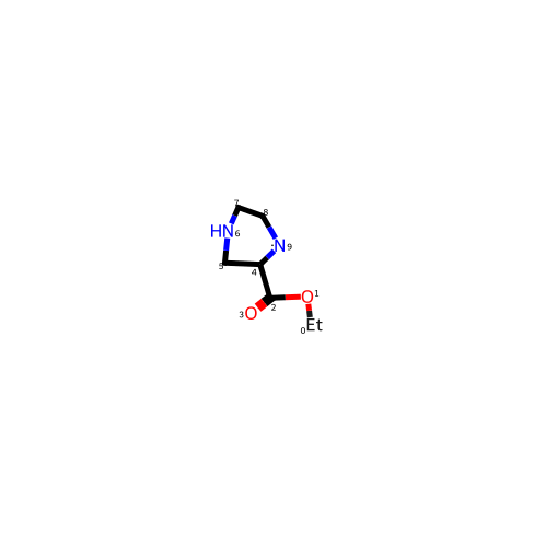 CCOC(=O)C1CNCC[N]1